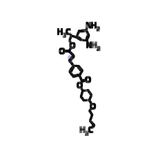 C=CCCCOC1CCC(OC(=O)c2ccc(/C=C/C(=O)OCC(C)c3cc(N)cc(N)c3)cc2)CC1